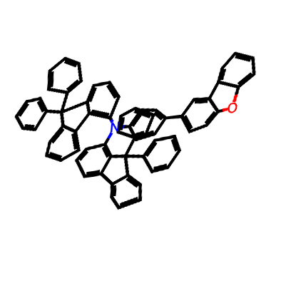 c1ccc(C2(c3ccccc3)c3ccccc3-c3c(N(c4ccc(-c5ccc6oc7ccccc7c6c5)cc4)c4cccc5c4C(c4ccccc4)(c4ccccc4)c4ccccc4-5)cccc32)cc1